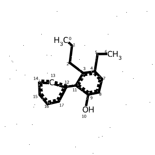 CCCc1c(CC)ccc(O)c1-c1ccccc1